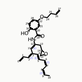 C=C/C=C(/C=C/C=C\C=C/C)\C=C(/CC1CO1)NC(=O)c1cc(OCCC=C)ccc1O